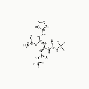 CC(C)(C)OC(=O)N=C(NC(=O)OC(C)(C)C)NC(CCC1OCCO1)CC(N)=O